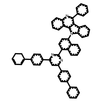 C1=CCCC(c2ccc(-c3cc(-c4ccc(-c5ccccc5)cc4)nc(-c4ccc(-n5c6ccccc6c6c(-c7ccccc7)nc7ccccc7c65)c5ccccc45)n3)cc2)=C1